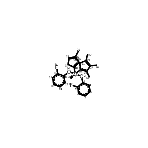 [CH2]=[Zr]([O]c1ccccc1F)([O]c1ccccc1F)([C]1=CC(C)=CC1)[C]1=C(C)C(C)=C(C)C1C